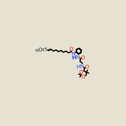 CCCCCCCCC=CCCCCCCCC(=O)Nc1ccccc1NC(=O)CCNC(=O)C1OC(C)(C)OCC1(C)C